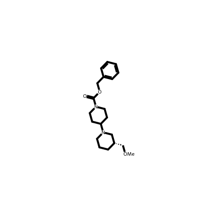 COC[C@@H]1CCCN(C2CCN(C(=O)OCc3ccccc3)CC2)C1